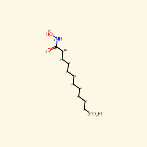 CCOC(=O)CCCCCCCCCCC(=O)NO